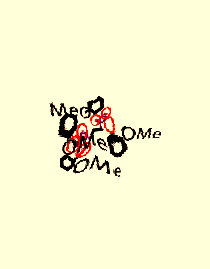 COc1ccccc1OP(=O)(CCCP(=O)(Oc1ccccc1OC)Oc1ccccc1OC)Oc1ccccc1OC